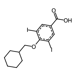 O=C(O)c1cc(I)c(OCC2CCCCC2)c(I)c1